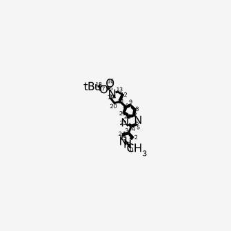 Cn1cc(-c2cnc3ccc(C4=CCN(C(=O)OC(C)(C)C)CC4)cc3n2)cn1